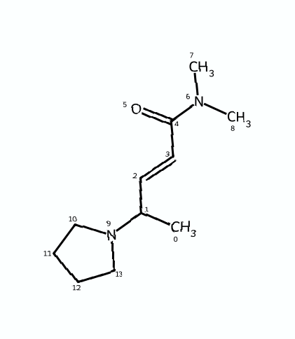 CC(C=CC(=O)N(C)C)N1CCCC1